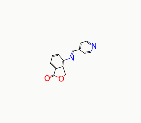 O=C1OCc2c(/N=C/c3ccncc3)cccc21